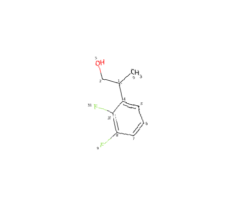 C[C](CO)c1cccc(F)c1F